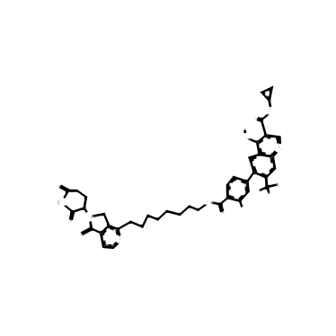 CNc1c(C(=O)NC2CC2)cnc2cc(C(F)(F)F)c(-c3ccc(C(=O)NCCCCCCCCc4nccc5c4CN(C4CCC(=O)NC4=O)C5=O)c(F)c3)cc12